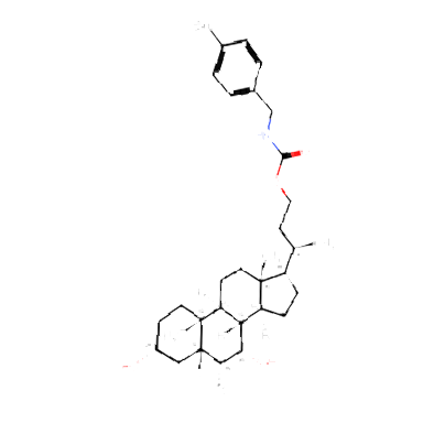 CC[C@H]1[C@@H](O)[C@@H]2[C@H](CC[C@]3(C)[C@@H]([C@H](C)CCOC(=O)NCc4ccc(C(C)(C)C)cc4)CC[C@@H]23)[C@@]2(C)CC[C@@H](O)C[C@@H]12